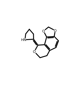 c1cc2c(c3c1CCO/C3=C1/CCCN1)OCO2